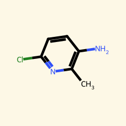 Cc1nc(Cl)ccc1N